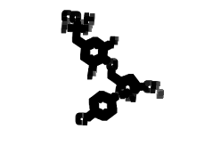 O=C(O)C(F)(F)Cc1cc(F)c(OCc2cc(C(F)(F)F)nn2-c2ccc(Cl)cc2)c(F)c1